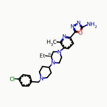 CC[C@H]1CN(c2ccc(-c3nnc(N)o3)nc2C)CCN1C1CCN(Cc2ccc(Cl)cc2)CC1